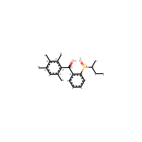 CCC(C)[PH](=O)c1ccccc1C(=O)c1c(C)cc(C)c(C)c1C